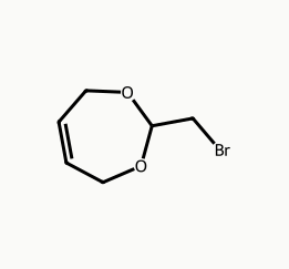 BrCC1OCC=CCO1